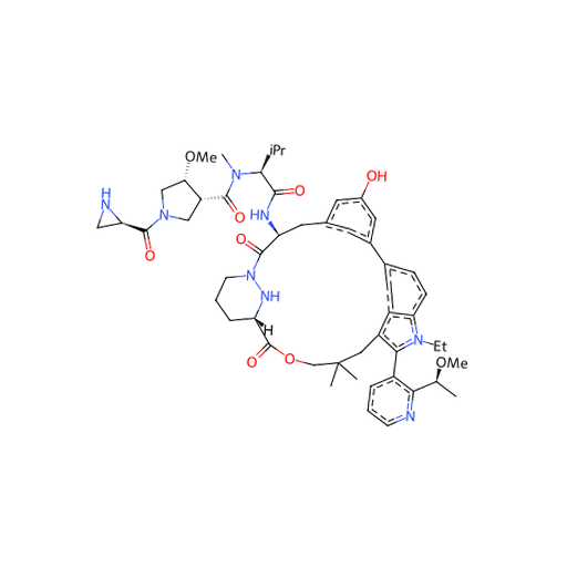 CCn1c(-c2cccnc2[C@H](C)OC)c2c3cc(ccc31)-c1cc(O)cc(c1)C[C@H](NC(=O)[C@H](C(C)C)N(C)C(=O)[C@@H]1CN(C(=O)[C@H]3CN3)C[C@@H]1OC)C(=O)N1CCC[C@H](N1)C(=O)OCC(C)(C)C2